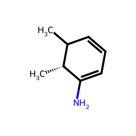 CC1C=CC=C(N)[C@@H]1C